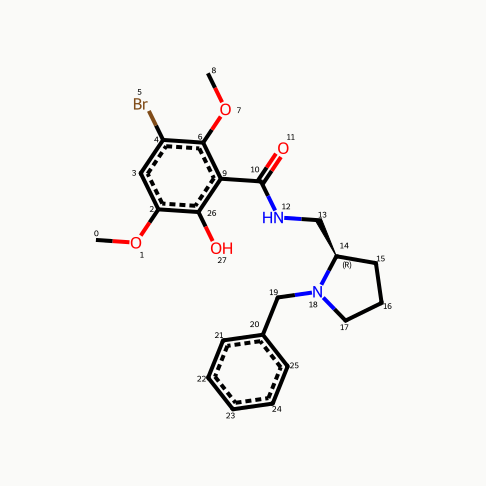 COc1cc(Br)c(OC)c(C(=O)NC[C@H]2CCCN2Cc2ccccc2)c1O